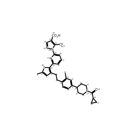 Cc1cc(CCc2ccc(C3CCN(C(=O)C4CC4)CC3)cc2C)c(-c2cccc(-n3ncc(C(=O)O)c3C(F)(F)F)n2)s1